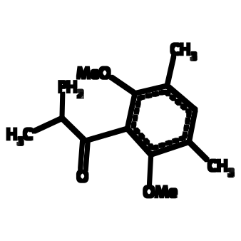 COc1c(C)cc(C)c(OC)c1C(=O)C(C)P